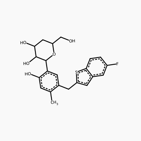 Cc1cc(O)c(C2OC(CO)CC(O)C2O)cc1Cc1cc2cc(F)ccc2s1